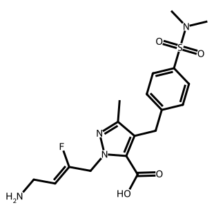 Cc1nn(CC(F)=CCN)c(C(=O)O)c1Cc1ccc(S(=O)(=O)N(C)C)cc1